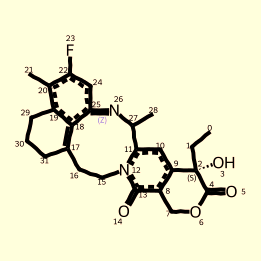 CC[C@@]1(O)C(=O)OCc2c1cc1n(c2=O)CCC2=c3c(c(C)c(F)c/c3=N/C1C)CCC2